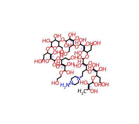 C/C(O)=C(\O)C(O)OC(CCO)/C(O)=C(/O)OC(CCN1CCN(N)CC1)/C(O)=C(\O)C(O)OC(CCO)/C(O)=C(\O)C(O)OC(CCO)/C(O)=C(/O)C(O)OC1C(CO)OC(OC(CCO)/C(O)=C(\O)C(O)OC(CCO)/C(O)=C(\O)C(O)OCCO)C(O)C1O